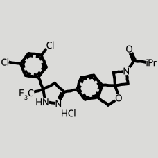 CC(C)C(=O)N1CC2(C1)OCc1cc(C3=NNC(c4cc(Cl)cc(Cl)c4)(C(F)(F)F)C3)ccc12.Cl